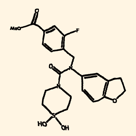 COC(=O)c1ccc(CN(C(=O)N2CCS(O)(O)CC2)c2ccc3c(c2)CCO3)c(F)c1